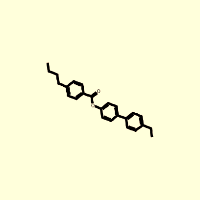 CCCCc1ccc(C(=O)Oc2ccc(-c3ccc(CC)cc3)cc2)cc1